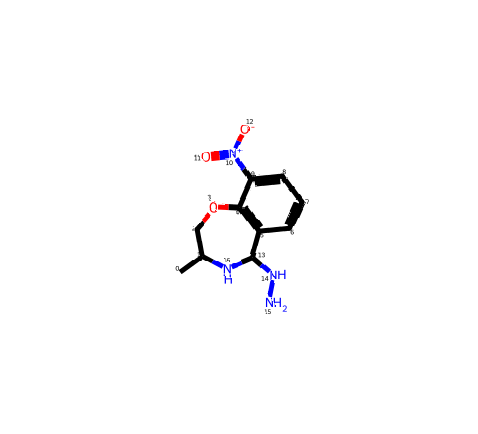 CC1COc2c(cccc2[N+](=O)[O-])C(NN)N1